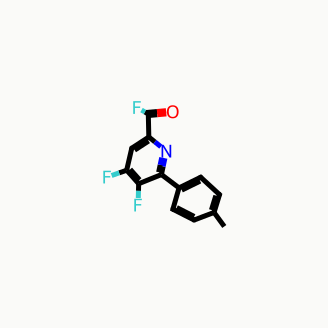 Cc1ccc(-c2nc(C(=O)F)cc(F)c2F)cc1